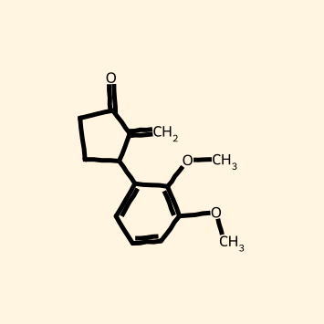 C=C1C(=O)CCC1c1cccc(OC)c1OC